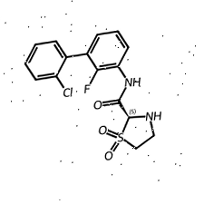 O=C(Nc1cccc(-c2ccccc2Cl)c1F)[C@H]1NCCS1(=O)=O